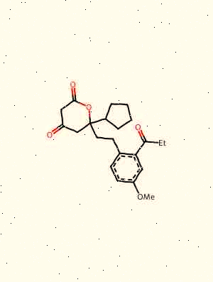 CCC(=O)c1cc(OC)ccc1CCC1(C2CCCC2)CC(=O)CC(=O)O1